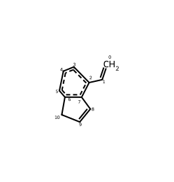 C=Cc1[c]ccc2c1C=CC2